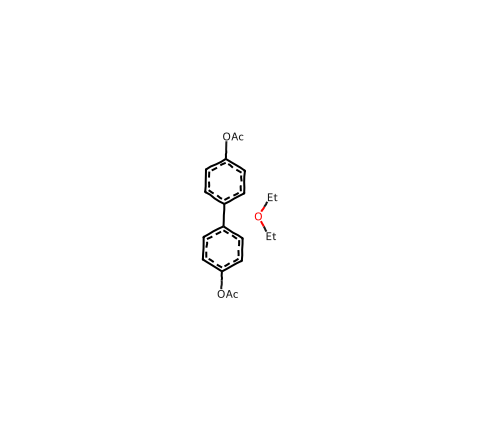 CC(=O)Oc1ccc(-c2ccc(OC(C)=O)cc2)cc1.CCOCC